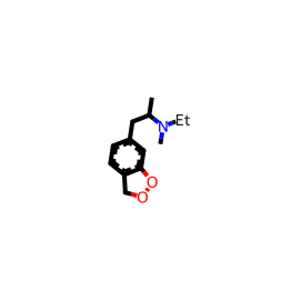 CCN(C)C(C)Cc1ccc2c(c1)OOC2